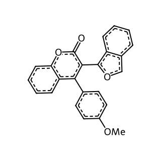 COc1ccc(-c2c(-c3occ4ccccc34)c(=O)oc3ccccc23)cc1